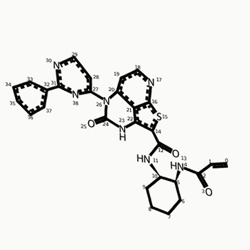 C=CC(=O)N[C@H]1CCCC[C@H]1NC(=O)c1sc2nccc3c2c1NC(=O)N3c1ccnc(-c2ccccc2)n1